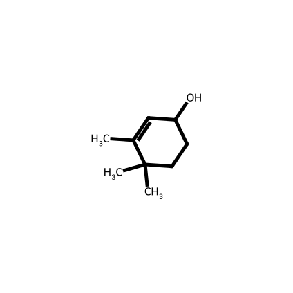 CC1=CC(O)CCC1(C)C